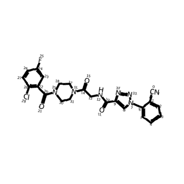 N#Cc1ccccc1-n1cc(C(=O)NCC(=O)N2CCN(C(=O)c3cc(F)ccc3Cl)CC2)nn1